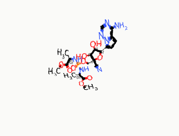 COC(=O)[C@H](C)NP(=O)(N[C@@H](C)C(=O)OC)OC[C@@]1(C#N)O[C@@H](c2ccc3c(N)ncnn23)[C@H](O)[C@@H]1O